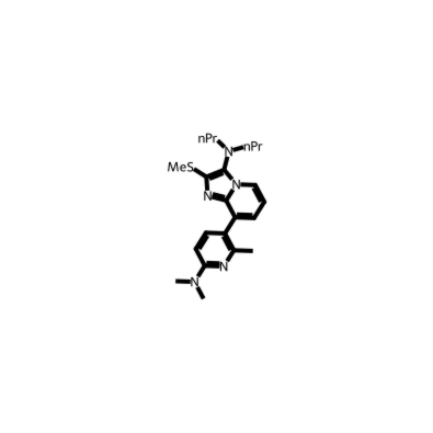 CCCN(CCC)c1c(SC)nc2c(-c3ccc(N(C)C)nc3C)cccn12